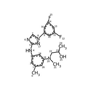 Cc1cc(Nc2ncn(-c3cc(F)cc(F)c3)n2)cc(N(C)CC(C)O)c1